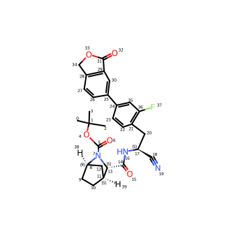 CC(C)(C)OC(=O)N1[C@@H]2CC[C@@H](C2)[C@H]1C(=O)N[C@H](C#N)Cc1ccc(-c2ccc3c(c2)C(=O)OC3)cc1F